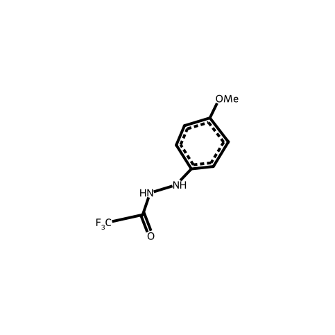 COc1ccc(NNC(=O)C(F)(F)F)cc1